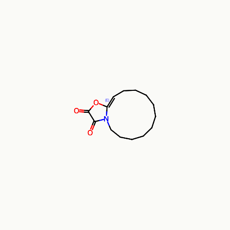 O=C1O/C2=C/CCCCCCCCCCN2C1=O